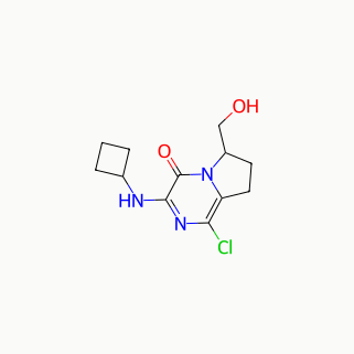 O=c1c(NC2CCC2)nc(Cl)c2n1C(CO)CC2